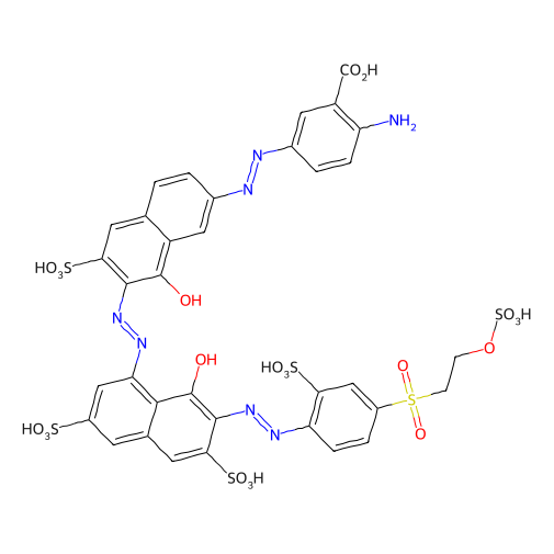 Nc1ccc(/N=N/c2ccc3cc(S(=O)(=O)O)c(/N=N/c4cc(S(=O)(=O)O)cc5cc(S(=O)(=O)O)c(/N=N/c6ccc(S(=O)(=O)CCOS(=O)(=O)O)cc6S(=O)(=O)O)c(O)c45)c(O)c3c2)cc1C(=O)O